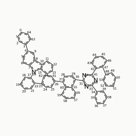 c1ccc(-c2ccc3c(c2)c2ccccc2n3-c2ccccc2-c2ccc(-c3ccc(-c4nc(-c5ccccc5)nc(-c5ccccc5-c5ccccc5)n4)c4ccccc34)cc2)cc1